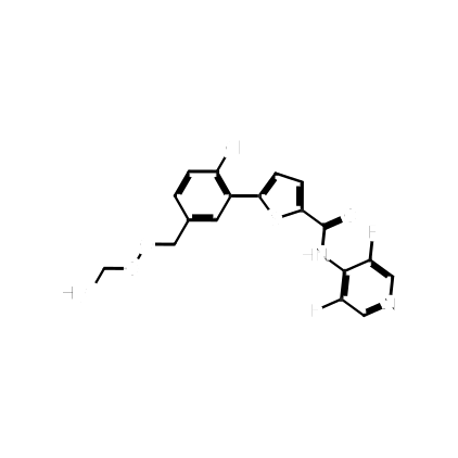 CCOOCc1ccc(Cl)c(-c2ccc(C(=O)Nc3c(F)cncc3F)s2)c1